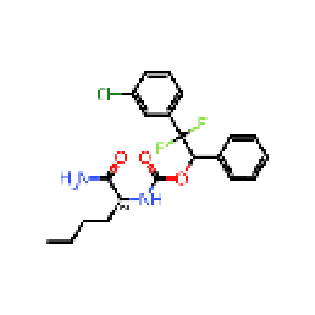 CCCC[C@H](NC(=O)OC(c1ccccc1)C(F)(F)c1cccc(Cl)c1)C(N)=O